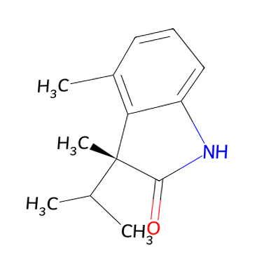 Cc1cccc2c1[C@@](C)(C(C)C)C(=O)N2